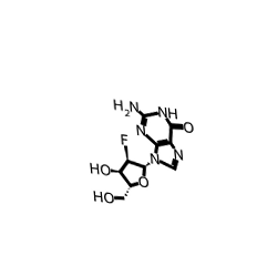 Nc1nc2c(ncn2[C@@H]2O[C@H](CO)[C@@H](O)[C@H]2F)c(=O)[nH]1